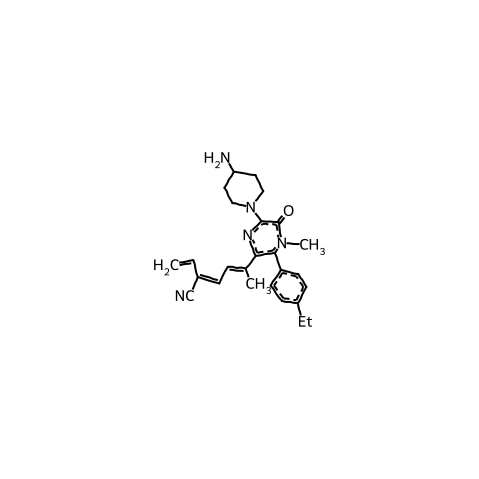 C=C/C(C#N)=C\C=C(/C)c1nc(N2CCC(N)CC2)c(=O)n(C)c1-c1ccc(CC)cc1